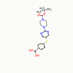 CC(C)(C)OC(=O)N1CCN(c2ncc(Sc3ccc(B(O)O)cc3)cn2)CC1